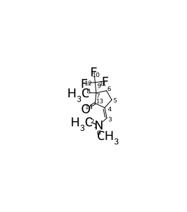 CN(C)/C=C1/CCC(C)(C(F)(F)F)C1=O